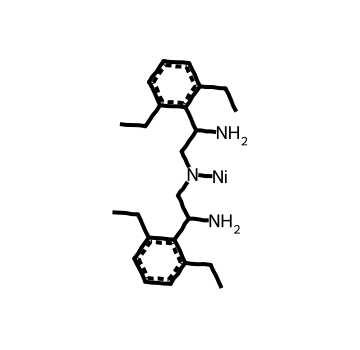 CCc1cccc(CC)c1C(N)C[N]([Ni])CC(N)c1c(CC)cccc1CC